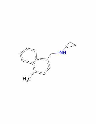 Cc1ccc(CNC2CC2)c2ccccc12